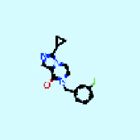 O=c1c2cnc(C3CC3)n2ccn1Cc1cccc(F)c1